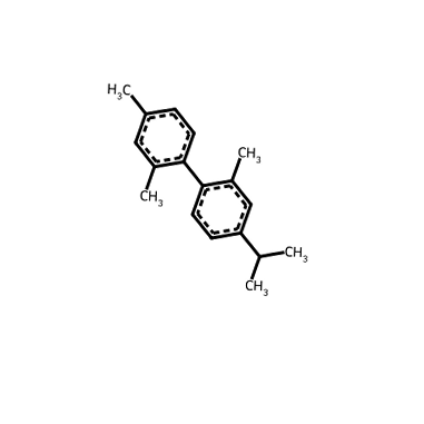 Cc1ccc(-c2ccc(C(C)C)cc2C)c(C)c1